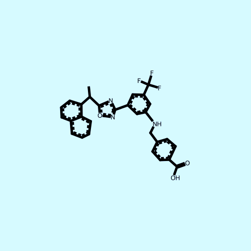 CC(c1nc(-c2cc(NCc3ccc(C(=O)O)cc3)cc(C(F)(F)F)c2)no1)c1cccc2ccccc12